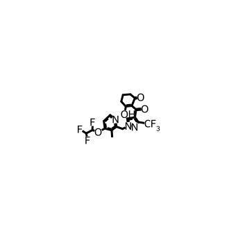 Cc1c(OC(F)C(F)F)ccnc1Cn1cc(C(=O)C2=C(O)CCCC2=O)c(C(F)(F)F)n1